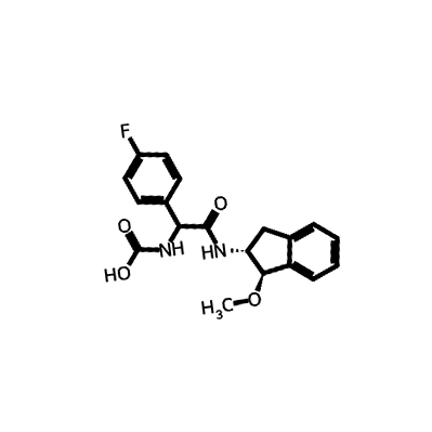 CO[C@@H]1c2ccccc2C[C@H]1NC(=O)C(NC(=O)O)c1ccc(F)cc1